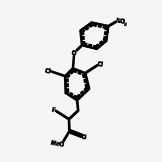 COC(=O)C(F)Cc1cc(Cl)c(Oc2ccc([N+](=O)[O-])cc2)c(Cl)c1